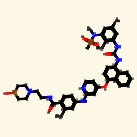 [CH2]CN(c1cc(C(C)(C)C)cc(NC(=O)Nc2ccc(Oc3ccnc(Nc4ccc(C(=O)NCCN5CC[S+]([O-])CC5)c(OC)c4)c3)c3ccccc23)c1OC)S(C)(=O)=O